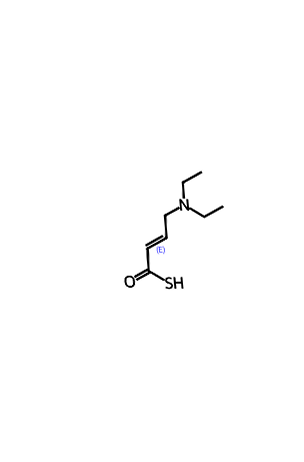 CCN(CC)C/C=C/C(=O)S